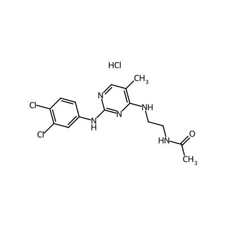 CC(=O)NCCNc1nc(Nc2ccc(Cl)c(Cl)c2)ncc1C.Cl